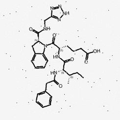 CC[C@H](C)[C@H](NC(=O)Cc1ccccc1)C(=O)N[C@@H](CCCC(=O)O)C(=O)N1c2ccccc2C[C@H]1C(=O)NCc1nn[nH]n1